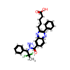 CC(F)(F)[C@@H](c1ccccc1)N(N)C(=O)c1ccc2nc(-c3ccccc3)c(CCCCC(=O)O)nc2c1